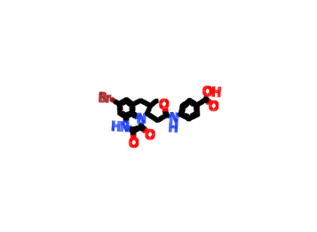 CC1Cc2cc(Br)cc3[nH]c(=O)c(=O)n(c23)C1CC(=O)Nc1ccc(C(=O)O)cc1